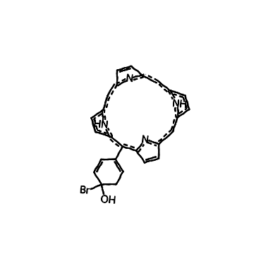 OC1(Br)C=CC(c2c3nc(cc4ccc(cc5nc(cc6ccc2[nH]6)C=C5)[nH]4)C=C3)=CC1